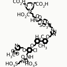 Cc1c(COc2cc(OCc3cncc(S(C)(=O)=O)c3)c(CN[C@@H](CS(=O)(=O)O)C(=O)NCCS(=O)(=O)O)cc2Cl)cccc1-c1cccc(OCc2cn(CCCN3CCN(C(=O)[C@H](CS(=O)(=O)O)NC(=O)CC[C@H](C(=O)O)N4CCN(CC(=O)O)CCN(CC(=O)O)CC4)CC3)nn2)c1C